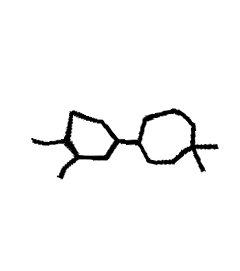 CC1CCC(C2CCCC(C)(C)CC2)CC1C